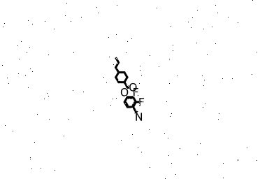 CCCC1CCC(C(=O)Oc2ccc(C#N)c(F)c2F)CC1